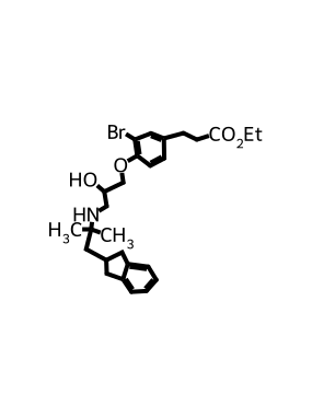 CCOC(=O)CCc1ccc(OCC(O)CNC(C)(C)CC2Cc3ccccc3C2)c(Br)c1